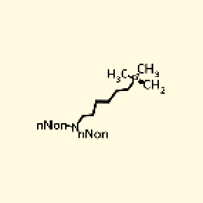 C=P(C)(C)CCCCCCN(CCCCCCCCC)CCCCCCCCC